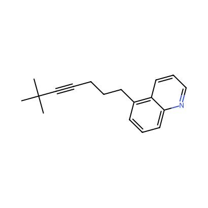 CC(C)(C)C#CCCCc1cccc2ncccc12